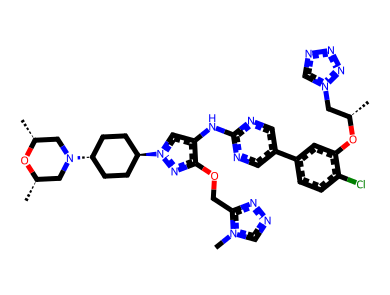 C[C@@H]1CN([C@H]2CC[C@H](n3cc(Nc4ncc(-c5ccc(Cl)c(O[C@@H](C)Cn6cnnn6)c5)cn4)c(OCc4nncn4C)n3)CC2)C[C@H](C)O1